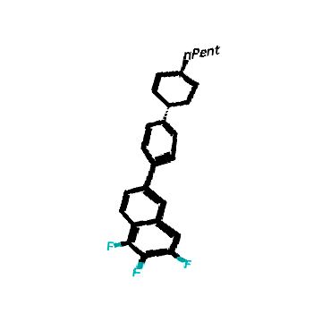 CCCCC[C@H]1CC[C@H](c2ccc(-c3ccc4c(F)c(F)c(F)cc4c3)cc2)CC1